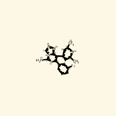 Cc1cc(-c2c(-c3cccc(F)c3)nc(N)n3cnnc23)cc(C(F)(F)F)n1